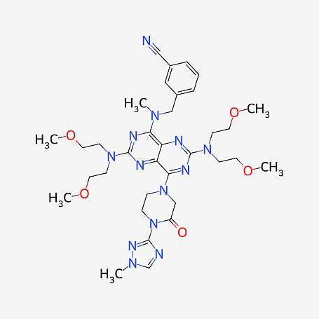 COCCN(CCOC)c1nc(N2CCN(c3ncn(C)n3)C(=O)C2)c2nc(N(CCOC)CCOC)nc(N(C)Cc3cccc(C#N)c3)c2n1